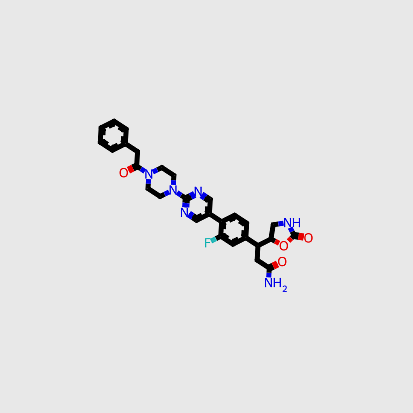 NC(=O)CC(c1ccc(-c2cnc(N3CCN(C(=O)Cc4ccccc4)CC3)nc2)c(F)c1)C1CNC(=O)O1